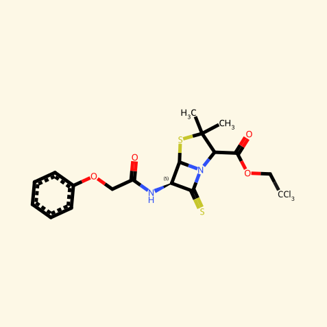 CC1(C)SC2[C@H](NC(=O)COc3ccccc3)C(=S)N2C1C(=O)OCC(Cl)(Cl)Cl